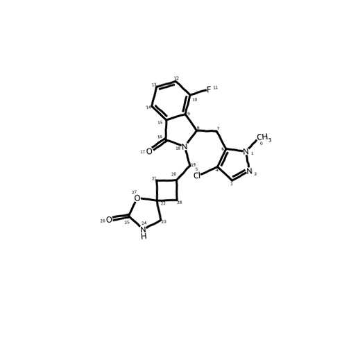 Cn1ncc(Cl)c1CC1c2c(F)cccc2C(=O)N1CC1CC2(CNC(=O)O2)C1